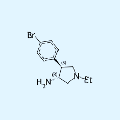 CCN1C[C@H](c2ccc(Br)cc2)[C@@H](N)C1